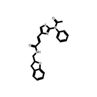 CC(=O)N(c1ccccc1)c1nc(/C=C/C(=O)NCC2Cc3ccccc3O2)cs1